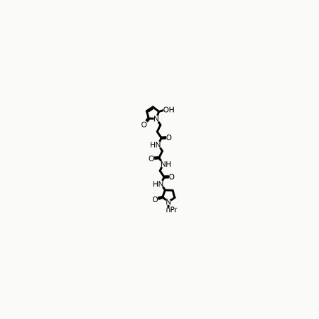 CCCN1CCC(NC(=O)CNC(=O)CNC(=O)CCN2C(=O)C=CC2O)C1=O